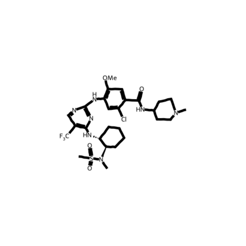 COc1cc(C(=O)NC2CCN(C)CC2)c(Cl)cc1Nc1ncc(C(F)(F)F)c(N[C@@H]2CCCC[C@H]2N(C)S(C)(=O)=O)n1